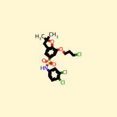 CC1(C)Cc2cc(S(=O)(=O)Nc3ccc(Cl)c(Cl)c3)cc(OCCCCl)c2O1